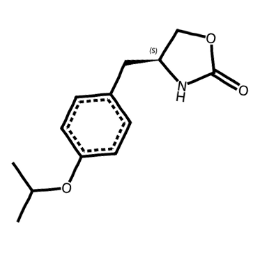 CC(C)Oc1ccc(C[C@H]2COC(=O)N2)cc1